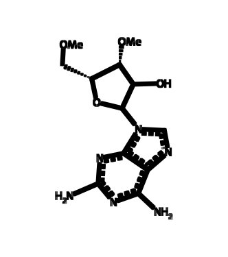 COC[C@H]1OC(n2cnc3c(N)nc(N)nc32)C(O)[C@H]1OC